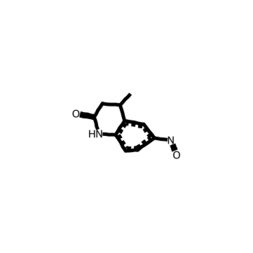 CC1CC(=O)Nc2ccc(N=O)cc21